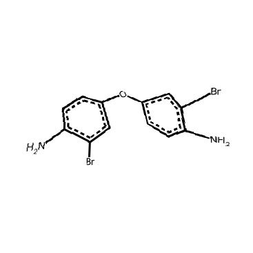 Nc1ccc(Oc2ccc(N)c(Br)c2)cc1Br